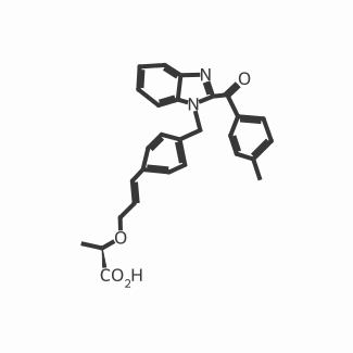 Cc1ccc(C(=O)c2nc3ccccc3n2Cc2ccc(/C=C/CO[C@H](C)C(=O)O)cc2)cc1